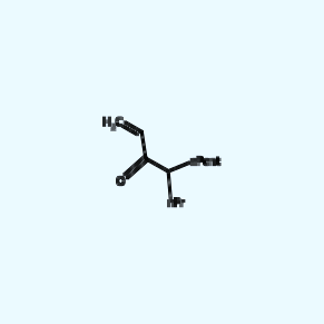 C=CC(=O)C(CCC)CCCCC